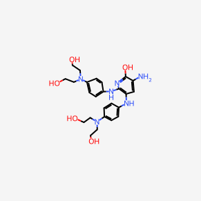 Nc1cc(Nc2ccc(N(CCO)CCO)cc2)c(Nc2ccc(N(CCO)CCO)cc2)nc1O